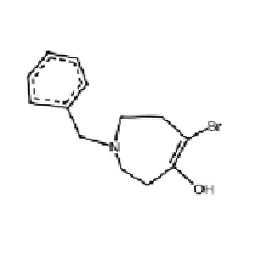 OC1=C(Br)CCN(Cc2ccccc2)CC1